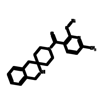 CCOc1nc(C(F)(F)F)ccc1C(=O)N1CCC2(CC1)Cc1ccccc1CN2